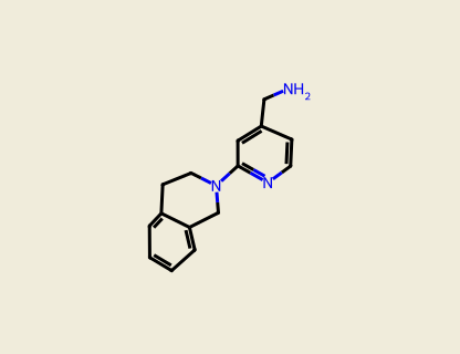 NCc1ccnc(N2CCc3ccccc3C2)c1